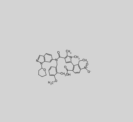 CCc1c([N+](=O)[O-])ccc(C(=O)O)c1-c1cc(C(=O)N(Cc2cccc(OC)c2C)c2ccc3cnn(C4CCCCO4)c3c2)c(C)n1C